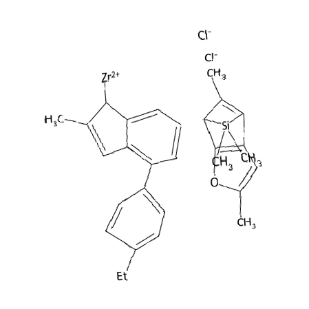 CC1=C2c3cc(C)oc3C1[Si]2(C)C.CCc1ccc(-c2cccc3c2C=C(C)[CH]3[Zr+2])cc1.[Cl-].[Cl-]